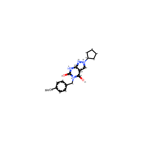 COc1ccc(Cn2c(=O)[nH]c3nn(C4CCCC4)cc3c2=O)cc1